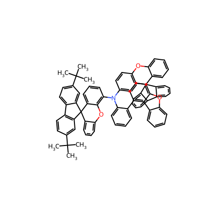 CC(C)(C)c1ccc2c(c1)C1(c3ccccc3Oc3c(N(c4ccc5c(c4)C4(c6ccccc6O5)c5ccccc5-c5ccccc54)c4ccccc4-c4cccc5oc6ccccc6c45)cccc31)c1cc(C(C)(C)C)ccc1-2